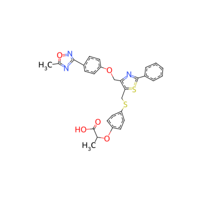 Cc1nc(-c2ccc(OCc3nc(-c4ccccc4)sc3CSc3ccc(OC(C)C(=O)O)cc3)cc2)no1